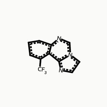 FC(F)(F)c1cccc2ncn3ccnc3c12